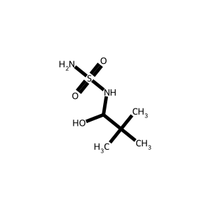 CC(C)(C)C(O)NS(N)(=O)=O